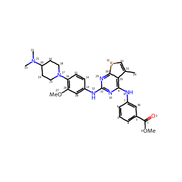 COC(=O)c1cccc(Nc2nc(Nc3ccc(N4CCC(N(C)C)CC4)c(OC)c3)nc3scc(C)c23)c1